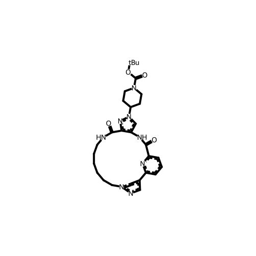 CC(C)(C)OC(=O)N1CCC(n2cc3c(n2)C(=O)NCCCCCCn2cc(cn2)-c2cccc(n2)C(=O)N3)CC1